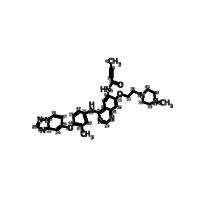 CC#CC(=O)Nc1cc2c(Nc3ccc(Oc4ccn5ncnc5c4)c(C)c3)ncnc2cc1OCCN1CCN(C)CC1